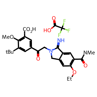 CCOc1cc2c(cc1C(=O)NC)C(=N)N(CC(=O)c1cc(C(=O)O)c(OC)c(C(C)(C)C)c1)C2.O=C(O)C(F)(F)F